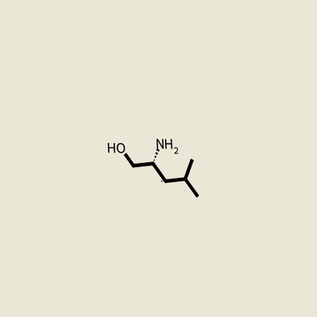 CC(C)[CH][C@@H](N)CO